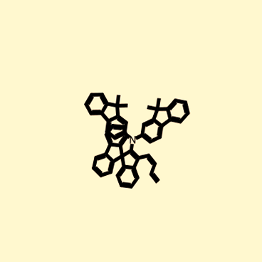 C=C/C=C\C1=C(N(c2ccc3c(c2)C(C)(C)c2ccccc2-3)c2ccc3c(c2)C(C)(C)c2ccccc2-3)C2(c3ccccc31)c1ccccc1-c1ccccc12